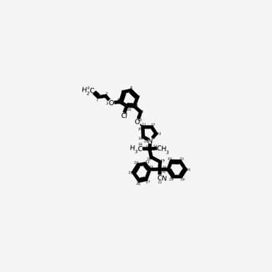 C=CCOc1cccc(CO[C@@H]2CCN(C(C)(C)CCC(C#N)(c3ccccc3)c3ccccc3)C2)c1Cl